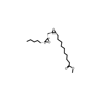 CCCCC[C@H]1O[C@H]1C[C@H]1O[C@H]1CCCCCCCCCC(=O)OC